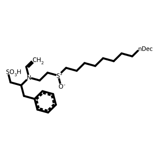 C=CN(CC[S+]([O-])CCCCCCCCCCCCCCCCCC)C(Cc1ccccc1)CS(=O)(=O)O